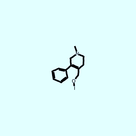 CN1CCC(COI)=C(c2ccccc2)C1